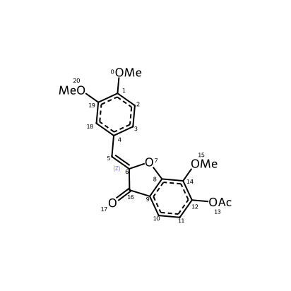 COc1ccc(/C=C2\Oc3c(ccc(OC(C)=O)c3OC)C2=O)cc1OC